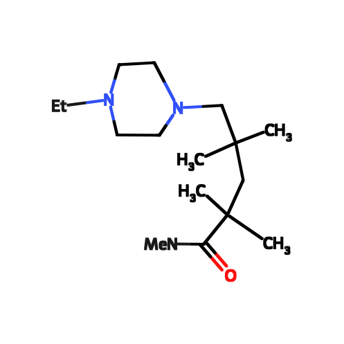 CCN1CCN(CC(C)(C)CC(C)(C)C(=O)NC)CC1